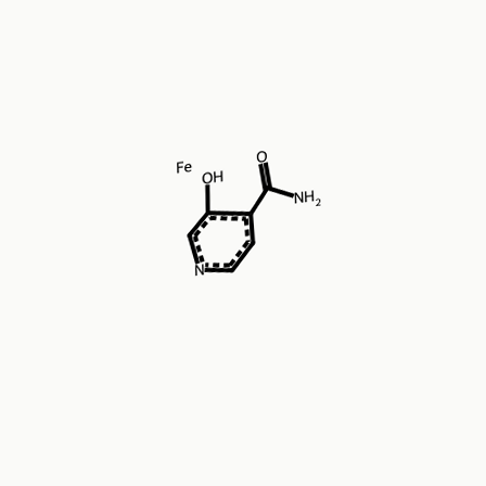 NC(=O)c1ccncc1O.[Fe]